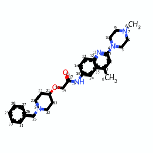 Cc1cc(N2CCN(C)CC2)nc2ccc(NC(=O)COC3CCN(Cc4ccccc4)CC3)cc12